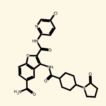 NC(=O)c1ccc2oc(C(=O)Nc3ccc(Cl)cn3)c(NC(=O)C3CCC(N4CCCC4=O)CC3)c2c1